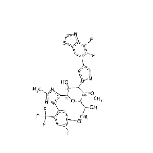 CO[C@H]1C(C(C)O)O[C@@H](c2nc(C)nn2-c2cc(Cl)c(F)cc2C(F)(F)F)[C@@H](O)C1n1cc(-c2cc3scnc3c(F)c2F)cn1